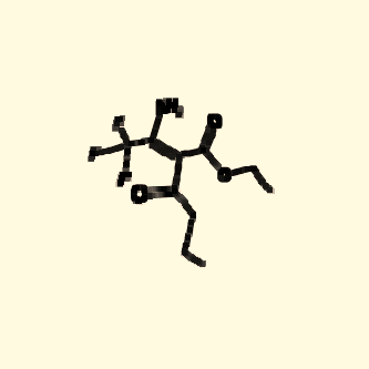 CCCC(=O)/C(C(=O)OCC)=C(/N)C(F)(F)F